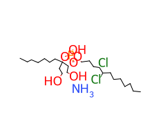 CCCCCCCC(Cl)C(Cl)CCCOP(=O)(O)OC(CCO)(CCO)CCCCCCC.N